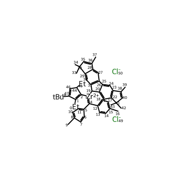 CCC1=[C]([Zr+2](=[C](c2ccc(C)cc2)c2ccc(C)cc2)[CH]2c3cc4c(cc3-c3cc5c(cc32)C(C)(C)C=C5C)C(C)=CC4(C)C)C(CC)C=C1C(C)(C)C.[Cl-].[Cl-]